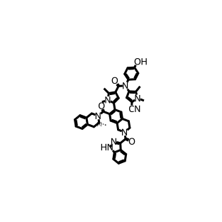 Cc1c(N(C(=O)c2cc(-c3cc4c(cc3C(=O)N3Cc5ccccc5C[C@H]3C)CN(C(=O)c3n[nH]c5ccccc35)CC4)n(C)c2C)c2ccc(O)cc2)cc(C#N)n1C